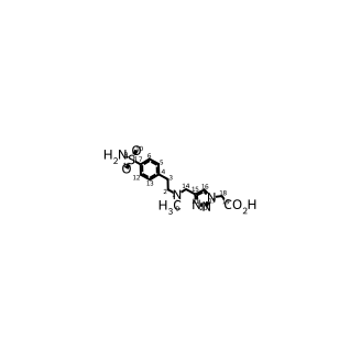 CN(CCc1ccc(S(N)(=O)=O)cc1)Cc1cn(CC(=O)O)nn1